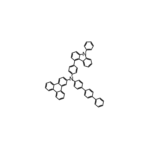 c1ccc(-c2ccc(-c3ccc(N(c4ccc(-c5cccc6c5c5ccccc5n6-c5ccccc5)cc4)c4ccc5c6ccccc6c6ccccc6c5c4)cc3)cc2)cc1